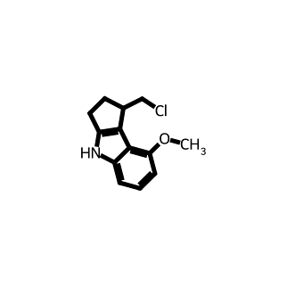 COc1cccc2[nH]c3c(c12)C(CCl)CC3